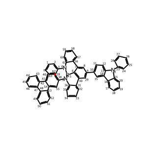 c1ccc(N2B3c4c(cc(-c5ccc6c(c5)c5ccccc5n6-c5ccccc5)cc4-c4ccccc4N3c3ccc4c5ccccc5c5ccccc5c4c3)-c3ccccc32)cc1